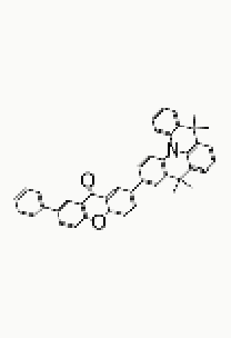 CC1(C)c2ccccc2N2c3ccc(-c4ccc5oc6ccc(-c7ccccc7)cc6c(=O)c5c4)cc3C(C)(C)c3cccc1c32